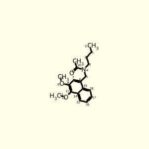 CCCCN(Cc1cc(OC)c(OC)c2ccccc12)C(C)=O